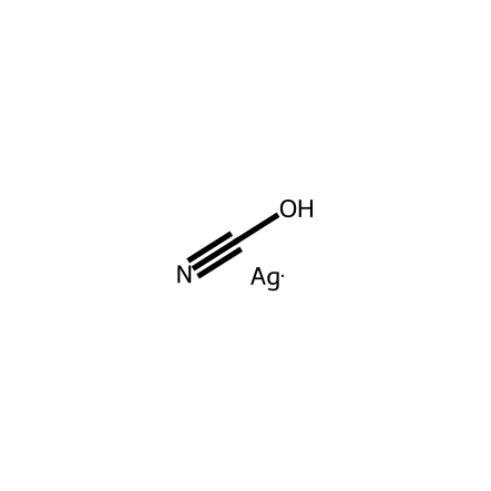 N#CO.[Ag]